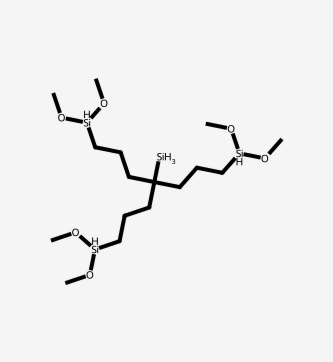 CO[SiH](CCCC([SiH3])(CCC[SiH](OC)OC)CCC[SiH](OC)OC)OC